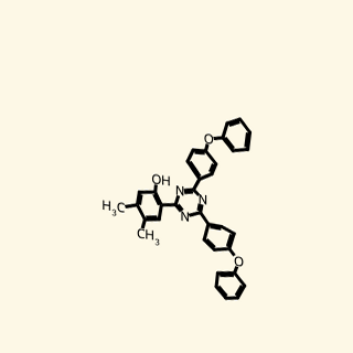 Cc1cc(O)c(-c2nc(-c3ccc(Oc4ccccc4)cc3)nc(-c3ccc(Oc4ccccc4)cc3)n2)cc1C